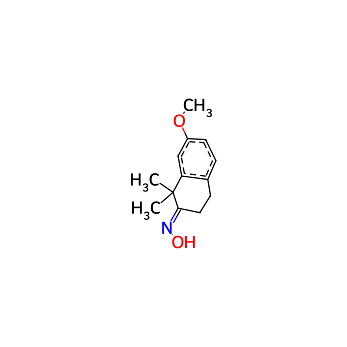 COc1ccc2c(c1)C(C)(C)C(=NO)CC2